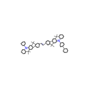 CC1(C)c2cc(/C=C/c3ccc4c(c3)C(C)(C)c3cc5c(cc3-4)C(C)(C)c3ccccc3N5c3ccc(-c4ccccc4)cc3)ccc2-c2cc3c(cc21)N(c1ccccc1)c1ccccc1C3(C)C